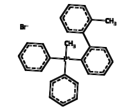 Cc1ccccc1-c1ccccc1[P+](C)(c1ccccc1)c1ccccc1.[Br-]